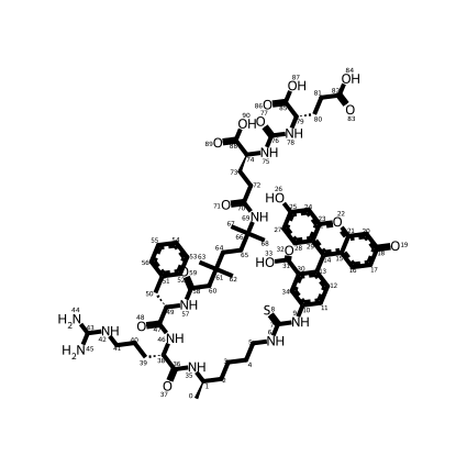 C[C@H](CCCCNC(=S)Nc1ccc(-c2c3ccc(=O)cc-3oc3cc(O)ccc23)c(C(=O)O)c1)NC(=O)[C@H](CCCNC(N)N)NC(=O)[C@H](Cc1ccccc1)NC(=O)CC(C)(C)CCC(C)(C)NC(=O)CC[C@H](NC(=O)N[C@@H](CCC(=O)O)C(=O)O)C(=O)O